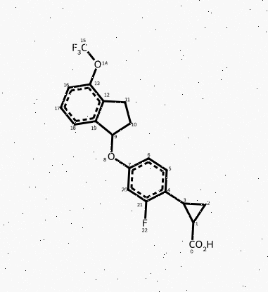 O=C(O)C1CC1c1ccc(OC2CCc3c(OC(F)(F)F)cccc32)cc1F